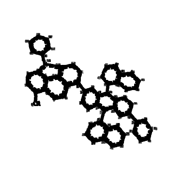 N#Cc1ccc2c3c1ccc1c(-c4ccc5c(-c6cccc7ccccc67)c6cc(-c7cccnc7)ccc6c(-c6cccc7ccccc67)c5c4)ccc(c13)n2-c1ccccc1